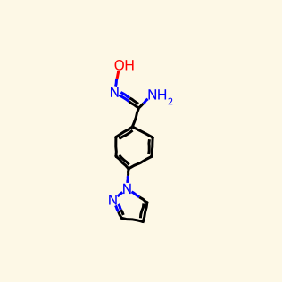 N/C(=N\O)c1ccc(-n2cccn2)cc1